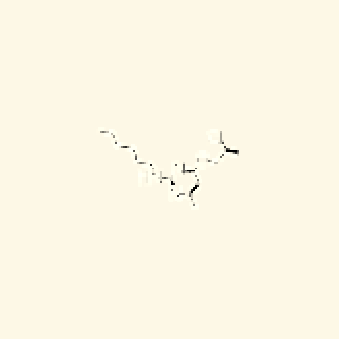 C=C(Cl)COc1cc(C)nc(NCCCCCC)n1